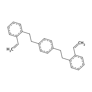 C=Cc1ccccc1CCc1ccc(CCc2ccccc2C=C)cc1